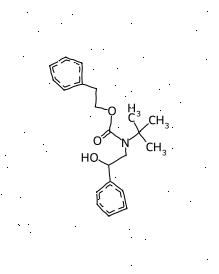 CC(C)(C)N(CC(O)c1ccccc1)C(=O)OCCc1ccccc1